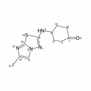 O=C1CCC(Nc2nn3cc(I)nc3s2)CC1